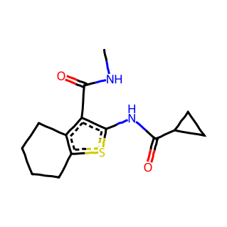 CNC(=O)c1c(NC(=O)C2CC2)sc2c1CCCC2